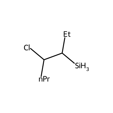 CCCC(Cl)C([SiH3])CC